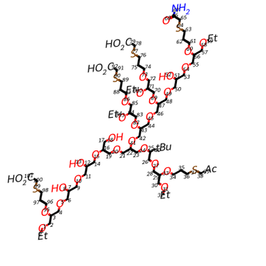 CCOCC(COCC(O)COCC(O)COC(CO)COCC(COC(COCC(COCC)OCCCSCC(C)=O)C(C)(C)C)OCC(COCC(COCC(O)COCC(COCC)OCCCSCC(N)=O)OCC(COCCCSCC(=O)O)OCC)OCC(COCCCSCC(=O)O)OCC)OCCCSCC(=O)O